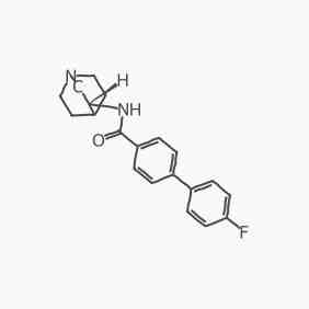 O=C(N[C@H]1CN2CCC1CC2)c1ccc(-c2ccc(F)cc2)cc1